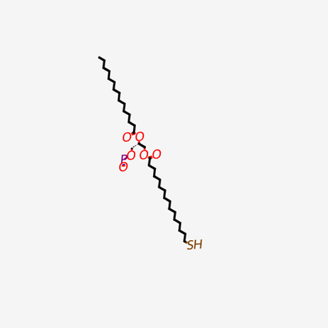 CCCCCCCCCCCCCCC(=O)O[C@@H](COP=O)COC(=O)CCCCCCCCCCCCCCCS